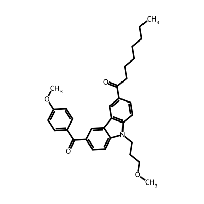 CCCCCCCC(=O)c1ccc2c(c1)c1cc(C(=O)c3ccc(OC)cc3)ccc1n2CCCOC